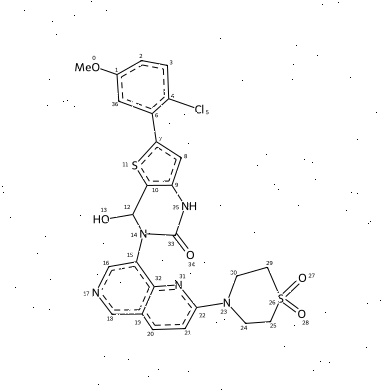 COc1ccc(Cl)c(-c2cc3c(s2)C(O)N(c2cncc4ccc(N5CCS(=O)(=O)CC5)nc24)C(=O)N3)c1